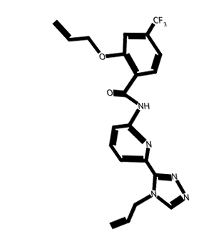 C=CCOc1cc(C(F)(F)F)ccc1C(=O)Nc1cccc(-c2nncn2CC=C)n1